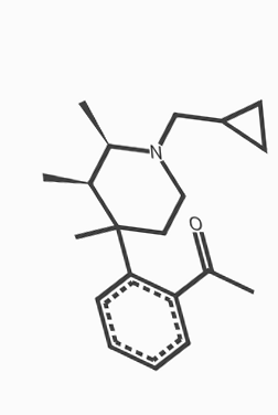 CC(=O)c1ccccc1C1(C)CCN(CC2CC2)[C@H](C)[C@@H]1C